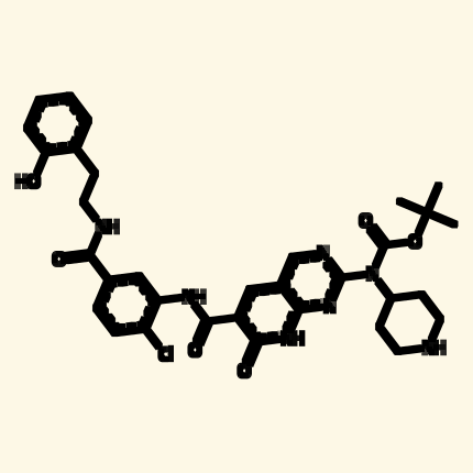 CC(C)(C)OC(=O)N(c1ncc2cc(C(=O)Nc3cc(C(=O)NCCc4ccccc4O)ccc3Cl)c(=O)[nH]c2n1)C1CCNCC1